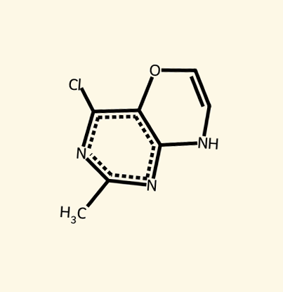 Cc1nc(Cl)c2c(n1)NC=CO2